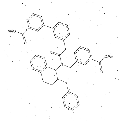 COC(=O)c1cccc(CN(C(=O)Cc2cccc(-c3cccc(C(=O)OC)c3)c2)C2c3ccccc3CCC2Cc2ccccc2)c1